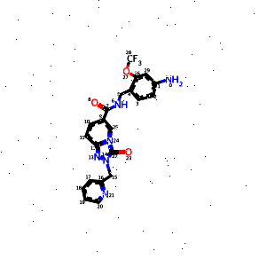 Nc1ccc(CNC(=O)c2ccc3nn(Cc4ccccn4)c(=O)n3c2)c(OC(F)(F)F)c1